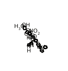 CC(C)c1ccccc1[C@H]1CCCN1C1CC2(CCN(c3ccc(C(=O)NS(=O)(=O)c4cc5c(c([N+](=O)[O-])c4)O[C@H](C4CCC(C)(O)CC4)CO5)c(Oc4cnc5[nH]ccc5c4)c3)CC2)C1